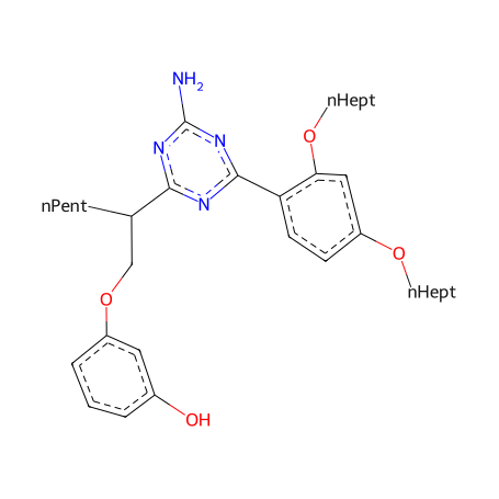 CCCCCCCOc1ccc(-c2nc(N)nc(C(CCCCC)COc3cccc(O)c3)n2)c(OCCCCCCC)c1